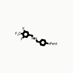 CCCCCc1ccc(/C=N/N=C/c2cc(F)c(C(F)(F)F)c(F)c2)cc1